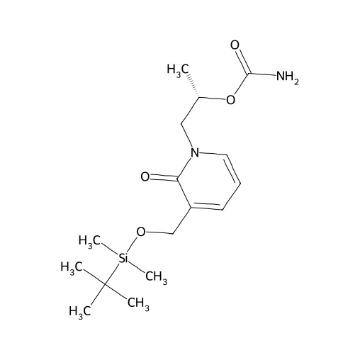 C[C@@H](Cn1cccc(CO[Si](C)(C)C(C)(C)C)c1=O)OC(N)=O